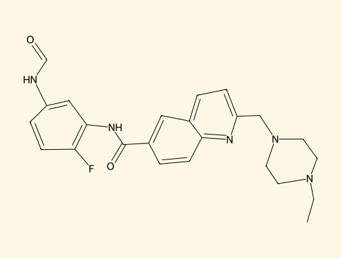 CCN1CCN(Cc2ccc3cc(C(=O)Nc4cc(NC=O)ccc4F)ccc3n2)CC1